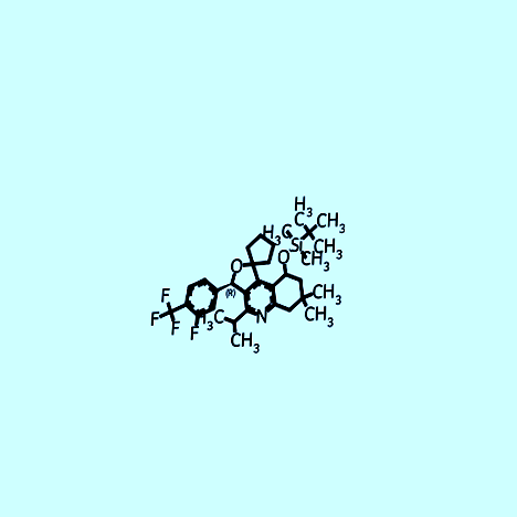 CC(C)c1nc2c(c3c1[C@@H](c1ccc(C(F)(F)F)c(F)c1)OC31CCCC1)C(O[Si](C)(C)C(C)(C)C)CC(C)(C)C2